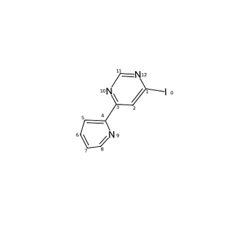 Ic1cc(-c2ccccn2)ncn1